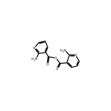 Nc1ncccc1C(=O)OC(=O)c1cccnc1N